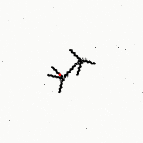 CCCCCCCC[N+](CCCCCCCC)(CCCCCCCC)CCCCCCCCCCCC[N+](CCCCCCCC)(CCCCCCCC)CCCCCCCC